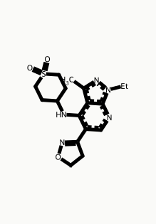 CCn1nc(C)c2c(NC3CCS(=O)(=O)CC3)c(C3=NO[C]C3)cnc21